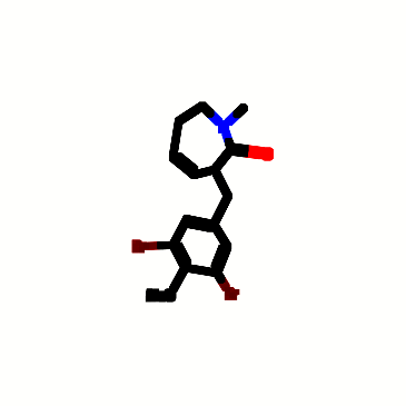 COc1c(Br)cc(CC2C=CCCN(C)C2=O)cc1Br